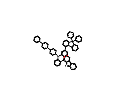 c1ccc(-c2ccc(-c3ccc(N(c4cccc(-c5cccc6c5-c5ccccc5C6(c5ccccc5)c5ccccc5)c4)c4ccccc4-c4cccc5c4oc4ccccc45)cc3)cc2)cc1